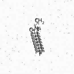 C=CCN(F)C(=O)C(F)(F)C(F)(F)C(F)(F)C(F)(F)C(F)(F)C(F)(F)C(F)(F)F